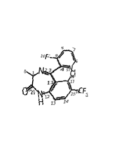 CC1N=C(c2ncccc2F)c2c(ccc(C(F)(F)F)c2Cl)NC1=O